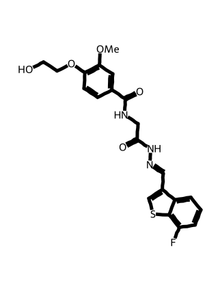 COc1cc(C(=O)NCC(=O)N/N=C/c2csc3c(F)cccc23)ccc1OCCO